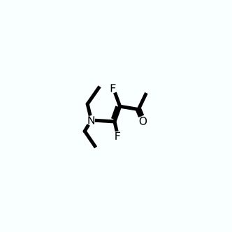 CCN(CC)C(F)=C(F)C(C)=O